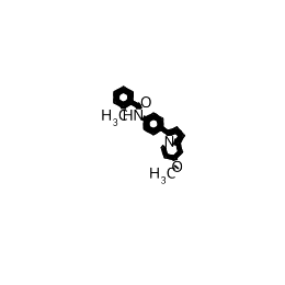 COC1CCn2c(ccc2-c2ccc(NC(=O)c3ccccc3C)cc2)C1